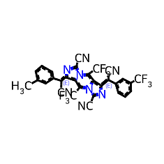 Cc1cccc(/C(C#N)=c2\nc(C#N)n3c(C(F)(F)F)c4/c(=C(\C#N)c5cccc(C(F)(F)F)c5)nc(C#N)n4c(C(F)(F)F)c23)c1